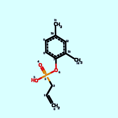 C=CCP(=O)(O)Oc1ccc(C)cc1C